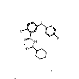 O=C(NC(O)C1CCCCC1)c1cc(Nc2ccc(F)cc2F)ccc1Cl